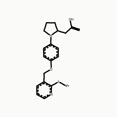 C=C(O)CC1CCCN1c1ccc(OCc2cccnc2SC(C)C)cc1